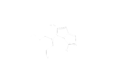 Nc1cc2cnc(N)n2n1N(CCO)CCO